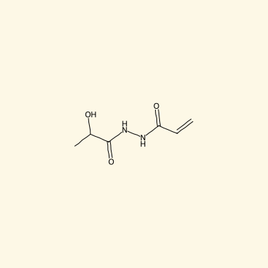 C=CC(=O)NNC(=O)C(C)O